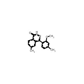 COc1cc(C)ccc1-c1n[nH]c(=O)c2ccc(C)cc12